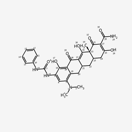 CN(C)c1cc(NC(=O)Nc2ccccc2)c(O)c2c1CC1CC3CC(O)=C(C(N)=O)C(=O)[C@@]3(C)C(O)=C1C2=O